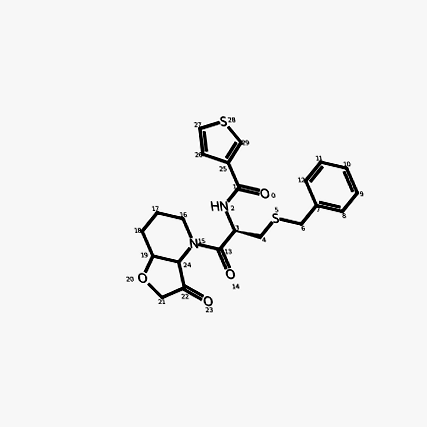 O=C(N[C@@H](CSCc1ccccc1)C(=O)N1CCCC2OCC(=O)C21)c1ccsc1